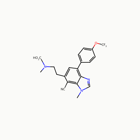 CN(CCc1cc(-c2ccc(OC(F)(F)F)cc2)c2ncn(C)c2c1C#N)C(=O)O